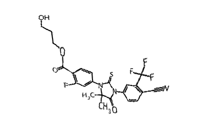 CC1(C)C(=O)N(c2ccc(C#N)c(C(F)(F)F)c2)C(=S)N1c1ccc(C(=O)OCCCO)c(F)c1